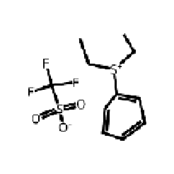 CC[S+](CC)c1ccccc1.O=S(=O)([O-])C(F)(F)F